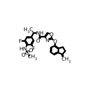 C=C1CCc2c(Oc3nc(C(=O)N[C@H](C)c4cc(F)c(NS(C)(=O)=O)c(F)c4)co3)cccc21